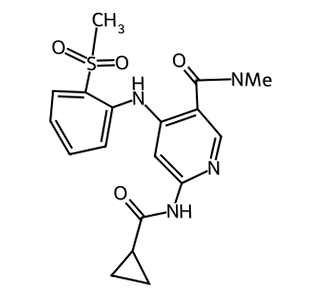 CNC(=O)c1cnc(NC(=O)C2CC2)cc1Nc1ccccc1S(C)(=O)=O